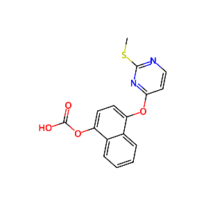 CSc1nccc(Oc2ccc(OC(=O)O)c3ccccc23)n1